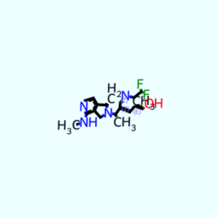 C=C1c2ccnc(NC)c2CN1C(C)C(/C=N\CC(F)F)=C/C(C)=C/O